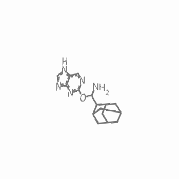 NC(Oc1ncc2[nH]cnc2n1)C1C2CC3CC(C2)CC1C3